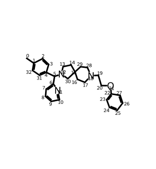 Cc1ccc(C(c2ccccn2)N2CCC3(CCN(CCOc4ccccc4)CC3)C2)cc1